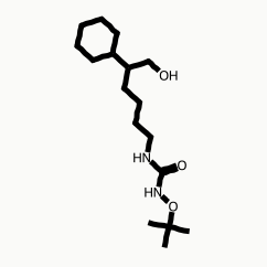 CC(C)(C)ONC(=O)NCCCCC(CO)C1CCCCC1